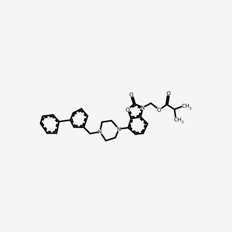 CC(C)C(=O)OCn1c(=O)oc2c(N3CCN(Cc4cccc(-c5ccccc5)c4)CC3)cccc21